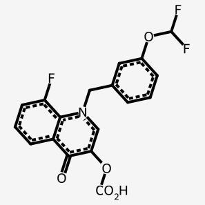 O=C(O)Oc1cn(Cc2cccc(OC(F)F)c2)c2c(F)cccc2c1=O